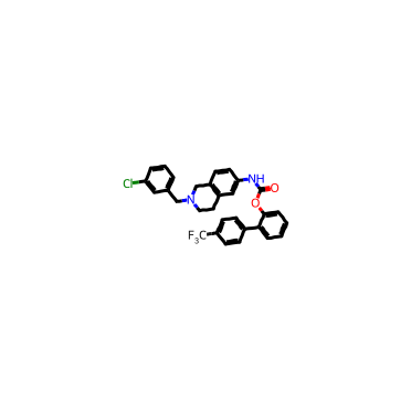 O=C(Nc1ccc2c(c1)CCN(Cc1cccc(Cl)c1)C2)Oc1ccccc1-c1ccc(C(F)(F)F)cc1